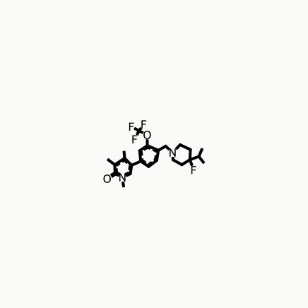 Cc1c(-c2ccc(CN3CCC(F)(C(C)C)CC3)c(OC(F)(F)F)c2)cn(C)c(=O)c1C